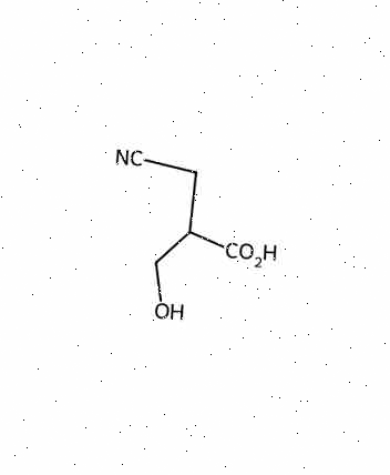 N#CCC(CO)C(=O)O